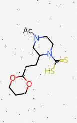 CC(=O)N1CCN(C(=S)S)C(CCC2OCCCO2)C1